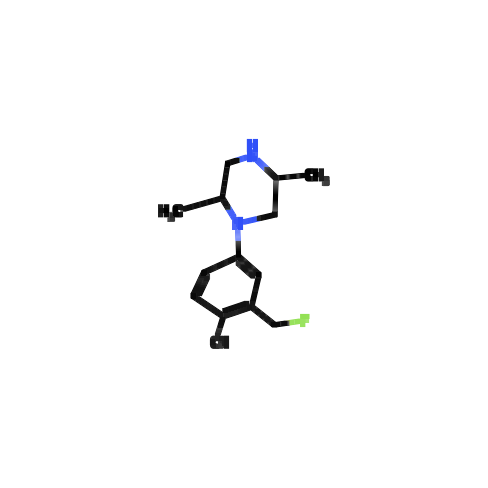 CC1CN(c2ccc(C#N)c(CF)c2)C(C)CN1